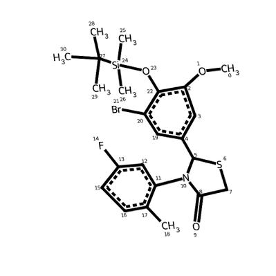 COc1cc(C2SCC(=O)N2c2cc(F)ccc2C)cc(Br)c1O[Si](C)(C)C(C)(C)C